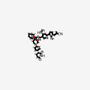 C=Nn1c(/C=C(\C)C#N)ccc1-c1cc(NC(C)C)c(-c2nnc(N3CC4CCC(C3)N4CC3CCN(c4ccc([C@H]5CCC(=O)NC5=O)cn4)CC3)s2)cn1